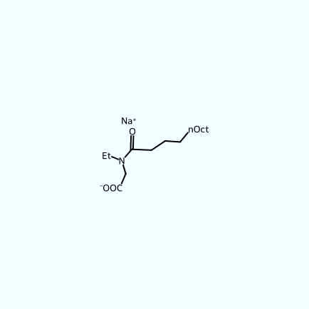 CCCCCCCCCCCC(=O)N(CC)CC(=O)[O-].[Na+]